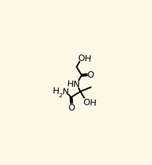 CC(O)(NC(=O)CO)C(N)=O